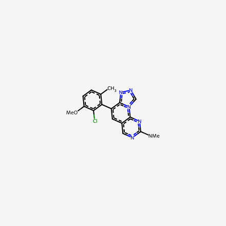 CNc1ncc2cc(-c3c(C)ccc(OC)c3Cl)c3nncn3c2n1